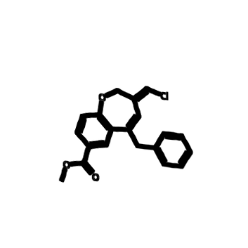 COC(=O)c1ccc2c(c1)C(Cc1ccccc1)=CC(=CCl)CO2